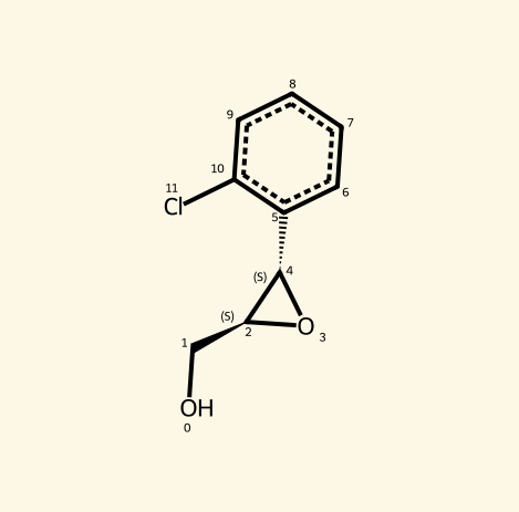 OC[C@@H]1O[C@H]1c1ccccc1Cl